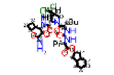 CC(C)[C@H](NC(=O)N[C@H](C(=O)N1C[C@H]2[C@@H]([C@H]1C(=O)NC(C(=O)C(N)=O)C1CCC1)C2(Cl)Cl)C(C)(C)C)C(=O)OC1Cc2ccccc2C1